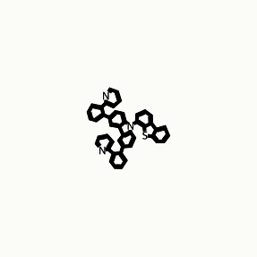 c1ccc(-c2ccccc2-c2ccc3c(c2)c2cc(-c4ccccc4-c4ccccn4)ccc2n3-c2cccc3c2sc2ccccc23)nc1